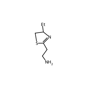 CCC1CSC(CCN)=N1